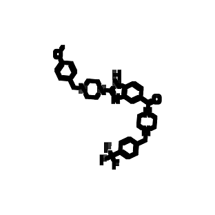 COc1ccc(CN2CCN(c3nc4cc(C(=O)N5CCN(Cc6ccc(C(F)(F)F)cc6)CC5)ccc4[nH]3)CC2)cc1